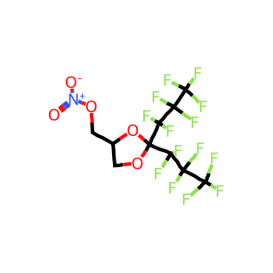 O=[N+]([O-])OCC1COC(C(F)(F)C(F)(F)C(F)(F)F)(C(F)(F)C(F)(F)C(F)(F)F)O1